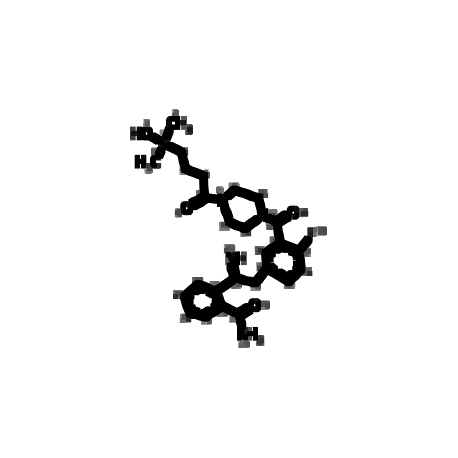 C[Si](C)(O)CCCC(=O)N1CCN(C(=O)c2cc(CC(=N)c3ccccc3C(N)=O)ccc2F)CC1